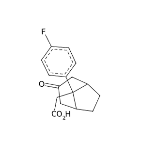 O=C(O)CC1(c2ccc(F)cc2)C2CCC1CC(=O)C2